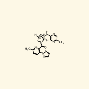 Cc1ccc(-n2nccn2)c(C(=O)N2C[C@@H]3C[C@@H](Nc4cnc(C(F)(F)F)cn4)[C@@H]2C3)n1